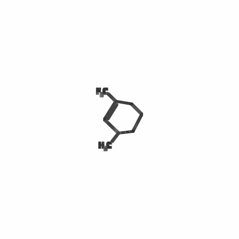 CC1C=C(C(F)(F)F)CCC1